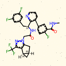 CNC(=O)c1cc(-c2cccnc2[C@H](Cc2cc(F)cc(F)c2)NC(=O)Cn2nc(C(F)(F)F)c3c2C[C@H]2C[C@@H]32)ccc1F